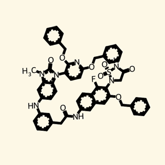 Cn1c(=O)n(-c2ccc(OCc3ccccc3)nc2OCc2ccccc2)c2ccc(Nc3cccc(CC(=O)Nc4ccc5c(F)c(N6CC(=O)NS6(=O)=O)c(OCc6ccccc6)cc5c4)c3)cc21